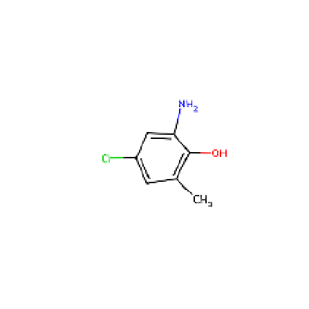 Cc1cc(Cl)cc(N)c1O